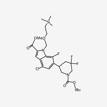 COC(=O)c1cc2c(Cl)cc(C3CN(C(=O)OC(C)(C)C)CC(F)(F)C3)c(F)c2n1COCC[Si](C)(C)C